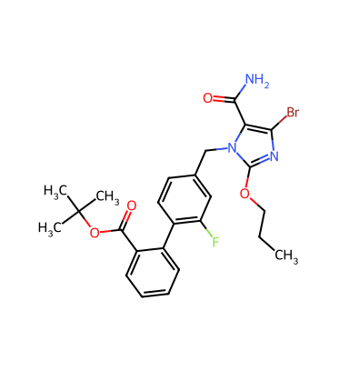 CCCOc1nc(Br)c(C(N)=O)n1Cc1ccc(-c2ccccc2C(=O)OC(C)(C)C)c(F)c1